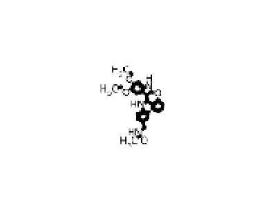 CCOc1cc2c(cc1OCC)C(=C(Nc1ccc(CNC(C)=O)cc1)c1ccccc1)C(=O)N2